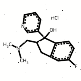 CN(C)CC1Cc2cc(F)ccc2C1(O)c1cccnc1.Cl